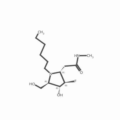 CCCCCCN1[C@H](CO)[C@@H](O)[C@H](F)[C@H]1CC(=O)NC